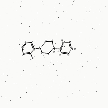 Fc1ccccc1N1CCN(c2ccncn2)CC1